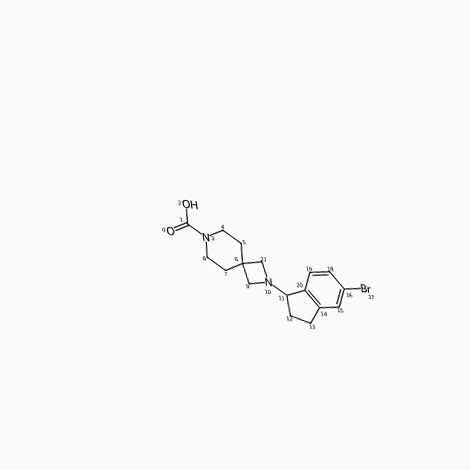 O=C(O)N1CCC2(CC1)CN(C1CCc3cc(Br)ccc31)C2